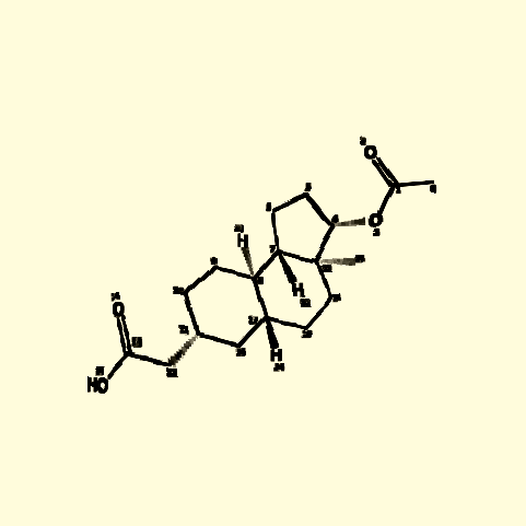 CC(=O)O[C@H]1CC[C@H]2[C@@H]3CC[C@@H](CC(=O)O)C[C@H]3CC[C@]12C